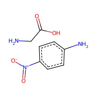 NCC(=O)O.Nc1ccc([N+](=O)[O-])cc1